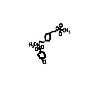 CN(CC[C@H]1CC[C@H](CCOS(C)(=O)=O)CC1)S(=O)(=O)c1ccc(Cl)cc1